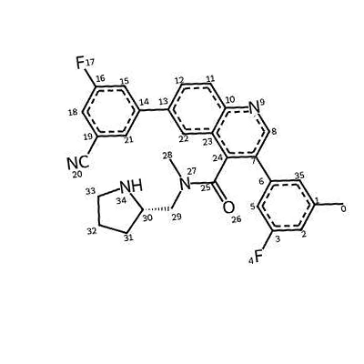 Cc1cc(F)cc(-c2cnc3ccc(-c4cc(F)cc(C#N)c4)cc3c2C(=O)N(C)C[C@@H]2CCCN2)c1